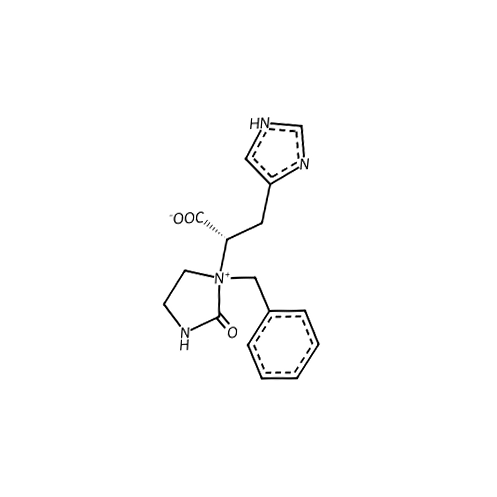 O=C([O-])[C@H](Cc1c[nH]cn1)[N+]1(Cc2ccccc2)CCNC1=O